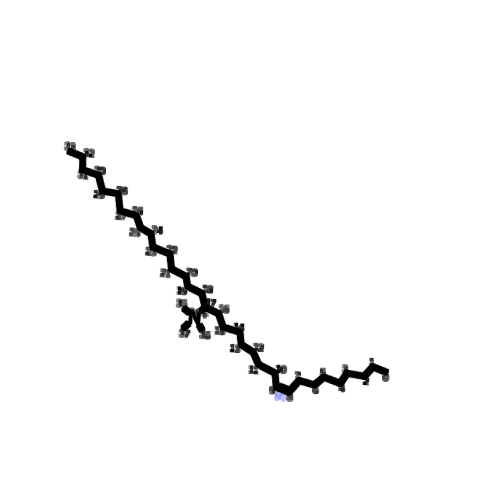 CCCCCCCC/C=C\CCCCCCCC(CCCCCCCCCCCCCCCC)[N+](C)(C)C